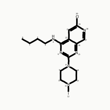 CCCCNc1nc(N2CCN(I)CC2)nc2cnc(Cl)cc12